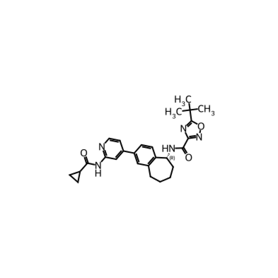 CC(C)(C)c1nc(C(=O)N[C@@H]2CCCCc3cc(-c4ccnc(NC(=O)C5CC5)c4)ccc32)no1